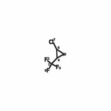 FC(F)(F)C1[CH]C1Cl